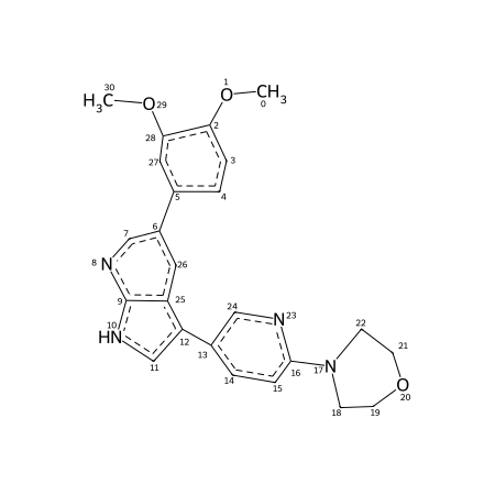 COc1ccc(-c2cnc3[nH]cc(-c4ccc(N5CCOCC5)nc4)c3c2)cc1OC